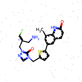 Cc1cc(-c2ccc(Cn3cnn(C/C(=C/F)CN)c3=O)s2)cc2ccc(=O)[nH]c12